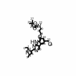 CCn1nc(C)cc1-c1ncc2c(n1)[nH]c1c(OCCCN(C)C(=O)OC(C)(C)C)cc(C=O)cc12